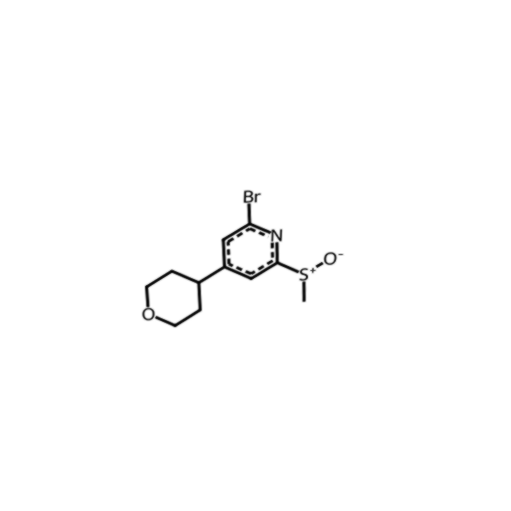 C[S+]([O-])c1cc(C2CCOCC2)cc(Br)n1